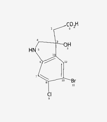 O=C(O)CC1(O)CNc2cc(Cl)c(Br)cc21